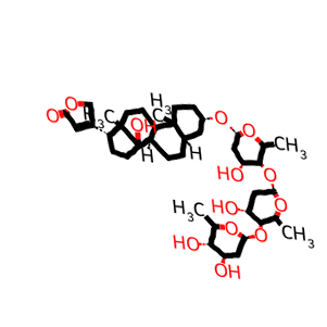 CC1O[C@@H](O[C@@H]2C(C)O[C@@H](O[C@@H]3C(C)O[C@@H](O[C@H]4CCC5(C)C6CCC7(C)[C@@H](C8=CC(=O)OC8)CCC7(O)[C@@H]6CC[C@@H]5C4)C[C@H]3O)C[C@H]2O)C[C@@H](O)[C@@H]1O